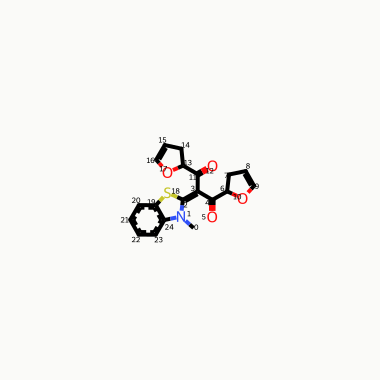 CN1C(=C(C(=O)C2CC=CO2)C(=O)C2CC=CO2)Sc2ccccc21